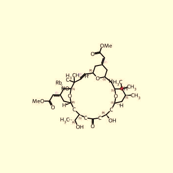 COC(=O)/C=C1/C[C@H]2C[C@]3(O)O[C@H](C[C@@H](O)CC(=O)C[C@@H]([C@@H](C)O)C[C@@H]4C/C(=C\C(=O)OC)[C@H]([Rb])[C@@](O)(O4)C(C)(C)/C=C/[C@@H](C1)O2)C[C@H](C)C3(C)C